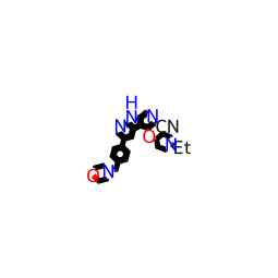 CCN1CCC(Oc2c(C#N)ncc3[nH]c4ncc(-c5ccc(CN6CCOCC6)cc5)cc4c23)CC1